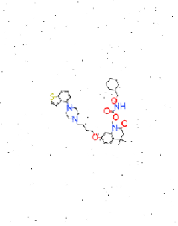 CC1(C)CC(=O)N(COC(=O)NOCC2CCCCC2)c2cc(OCCCCN3CCN(c4cccc5sccc45)CC3)ccc21